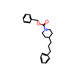 O=C(OCc1ccccc1)N1CCC(CCCc2ccccc2)CC1